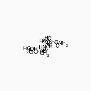 C/C(=C\C(=O)N[C@@H](CC(C)C)C(=O)N1C[C@H]2C[C@H]2[C@H]1C(=O)NCCOC(N)=O)c1ccc(OP(=O)(O)O)cc1